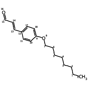 CCCCCCCCOc1ccc(C=C[C]=O)cc1